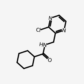 O=C(NCc1nccnc1Cl)C1CCCCC1